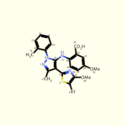 CCc1sc(-c2c(C)nn(-c3ccccc3C)c2Nc2ccc(OC)cc2C(=O)O)nc1OC